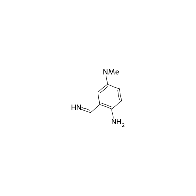 CNc1ccc(N)c(C=N)c1